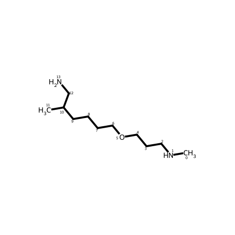 CNCCCOCCCCC(C)CN